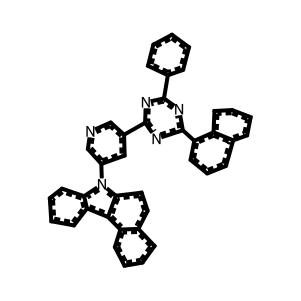 c1ccc(-c2nc(-c3cncc(-n4c5ccccc5c5c6ccccc6ccc54)c3)nc(-c3cccc4ccccc34)n2)cc1